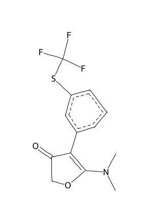 CN(C)C1=C(c2cccc(SC(F)(F)F)c2)C(=O)CO1